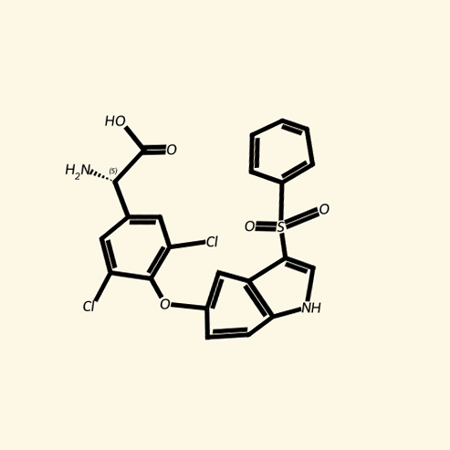 N[C@H](C(=O)O)c1cc(Cl)c(Oc2ccc3[nH]cc(S(=O)(=O)c4ccccc4)c3c2)c(Cl)c1